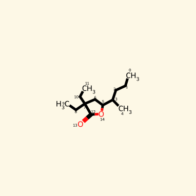 CCCC(C)C1CC(CC)(CC)C(=O)O1